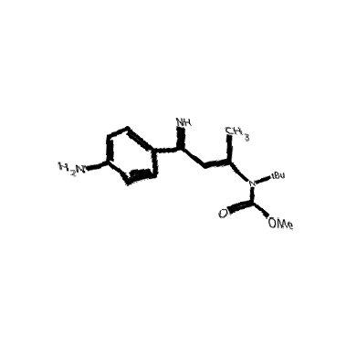 COC(=O)N(C(C)CC(=N)c1ccc(N)cc1)C(C)(C)C